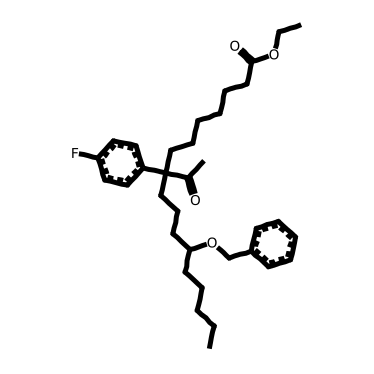 CCCCCC(CCCC(CCCCCCC(=O)OCC)(C(C)=O)c1ccc(F)cc1)OCc1ccccc1